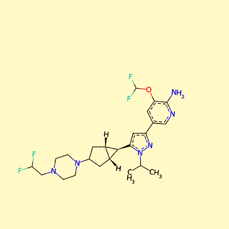 CC(C)n1nc(-c2cnc(N)c(OC(F)F)c2)cc1[C@H]1[C@@H]2CC(N3CCN(CC(F)F)CC3)C[C@@H]21